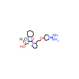 CN(C1CCCCCC1)[C@@H](CC(=O)O)C(=O)N1CCCCC1CCOC1CCN(C(=N)N)CC1